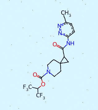 Cc1ccc(NC(=O)C2CC23CCN(C(=O)OC(C(F)(F)F)C(F)(F)F)CC3)nn1